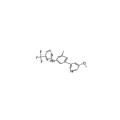 COc1cncc(-c2cc(C)cc(Nc3nccc(C(F)(F)F)n3)c2)c1